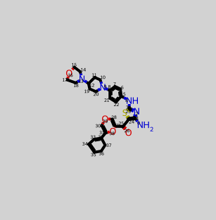 Nc1nc(Nc2ccc(N3CCC(N4CCOCC4)CC3)cc2)sc1C(=O)C1=COC=C(C2=CC=CCC2)O1